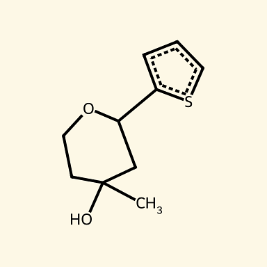 CC1(O)CCOC(c2cccs2)C1